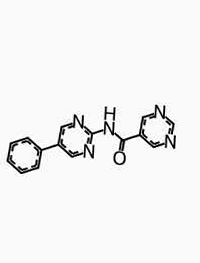 O=C(Nc1ncc(-c2ccccc2)cn1)c1cncnc1